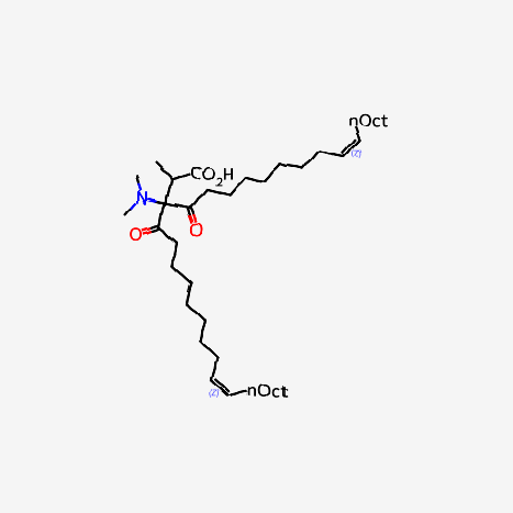 CCCCCCCC/C=C\CCCCCCCC(=O)C(C(=O)CCCCCCC/C=C\CCCCCCCC)(C(C)C(=O)O)N(C)C